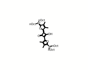 CCCCCCCCN(CCCCCCCC)c1oc(C2=C(O)/C(=C3/OC(=[N+](CCCCCCCC)CCCCCCCC)C(C)=C3C)C2=O)c(C)c1C